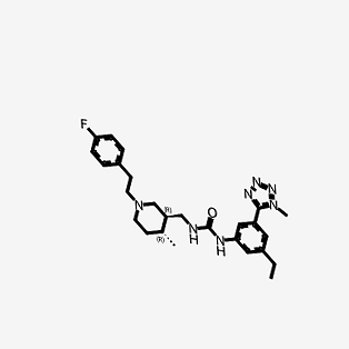 CCc1cc(NC(=O)NC[C@@H]2CN(CCc3ccc(F)cc3)CC[C@H]2C)cc(-c2nnnn2C)c1